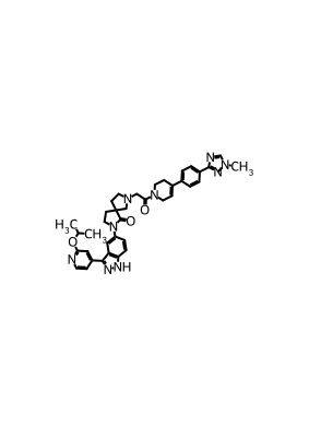 CC(C)Oc1cc(-c2n[nH]c3ccc(N4CCC5(CCN(CC(=O)N6CC=C(c7ccc(-c8ncn(C)n8)cc7)CC6)C5)C4=O)cc23)ccn1